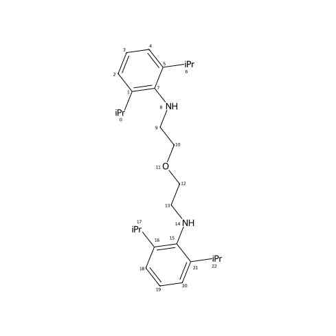 CC(C)c1cccc(C(C)C)c1NCCOCCNc1c(C(C)C)cccc1C(C)C